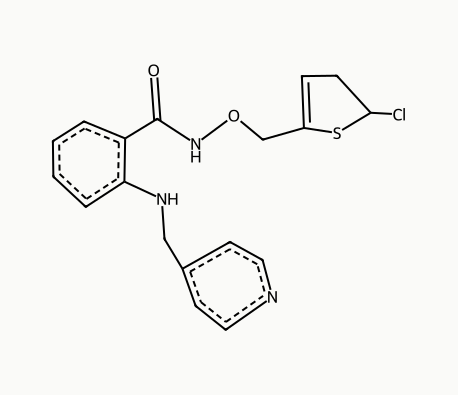 O=C(NOCC1=CCC(Cl)S1)c1ccccc1NCc1ccncc1